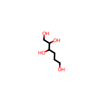 OCCC[C](O)C(O)CO